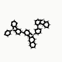 c1ccc(-n2c3ccccc3c3cc(-c4ccc5c(c4)c4cc6ccccc6cc4n5-c4cccc(-c5cccc6sc7ccccc7c56)c4)ccc32)cc1